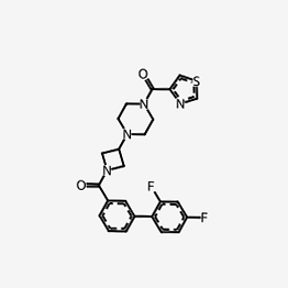 O=C(c1cccc(-c2ccc(F)cc2F)c1)N1CC(N2CCN(C(=O)c3cscn3)CC2)C1